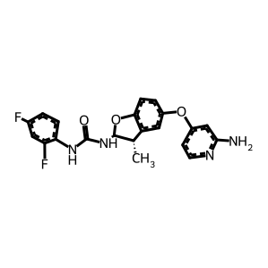 C[C@H]1c2cc(Oc3ccnc(N)c3)ccc2O[C@H]1NC(=O)Nc1ccc(F)cc1F